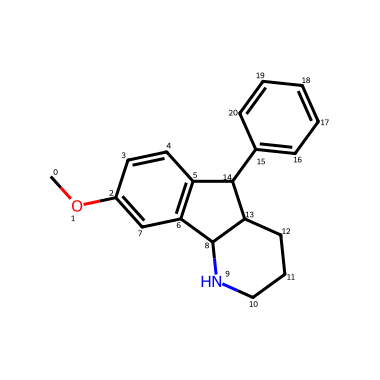 COc1ccc2c(c1)C1NCCCC1C2c1ccccc1